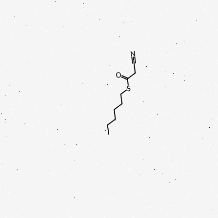 CCCCCCSC(=O)CC#N